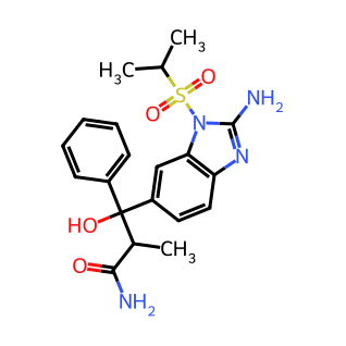 CC(C(N)=O)C(O)(c1ccccc1)c1ccc2nc(N)n(S(=O)(=O)C(C)C)c2c1